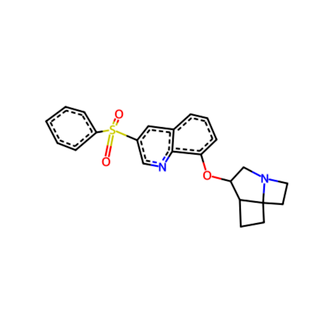 O=S(=O)(c1ccccc1)c1cnc2c(OC3CN4CCC45CCC35)cccc2c1